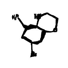 CCC(C)c1cc(P)c2c(c1)OCCN2